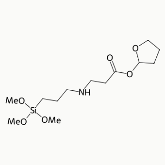 CO[Si](CCCNCCC(=O)OC1CCCO1)(OC)OC